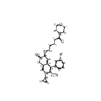 N#CC1=C(c2cccc(F)c2)C2=CC(OCCCCC(=O)N3CCOCC3)C(=O)CC2=CN1C1CC1